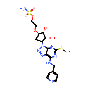 CCCSc1nc(NCc2ccncc2)c2nnn([C@H]3C[C@@H](OCCOS(N)(=O)=O)[C@H](O)[C@@H]3O)c2n1